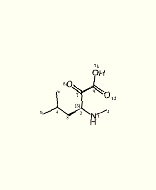 CN[C@@H](CC(C)C)C(=O)C(=O)O